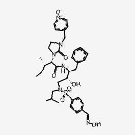 CC[C@H](C)[C@@H](C(=O)N[C@@H](Cc1ccccc1)[C@H](O)CN(CC(C)C)S(=O)(=O)c1ccc(C=NO)cc1)N1CCN(Cc2cc[n+]([O-])cc2)C1=O